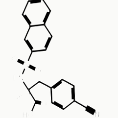 C[C@@](Cc1ccc(C#N)cc1)(NS(=O)(=O)c1ccc2ccccc2c1)C(=O)O